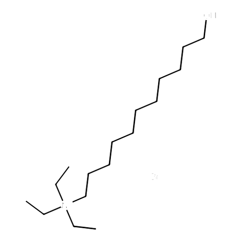 CC[N+](CC)(CC)CCCCCCCCCCCO.[Br-]